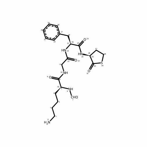 NCCCC[C@H](NC=O)C(=O)NCC(=O)N[C@@H](Cc1ccccc1)C(=O)N[C@H]1CCSC1=O